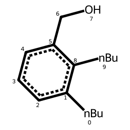 CCCCc1cccc(CO)c1CCCC